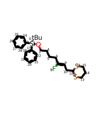 CC(C)(C)[Si](OCCCCC(F)=CCC1SCCCS1)(c1ccccc1)c1ccccc1